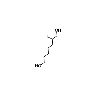 OCCCCCC(I)CO